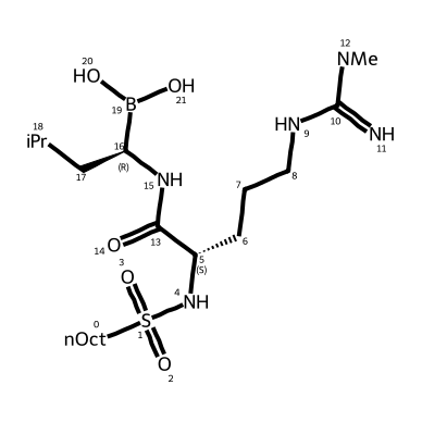 CCCCCCCCS(=O)(=O)N[C@@H](CCCNC(=N)NC)C(=O)N[C@@H](CC(C)C)B(O)O